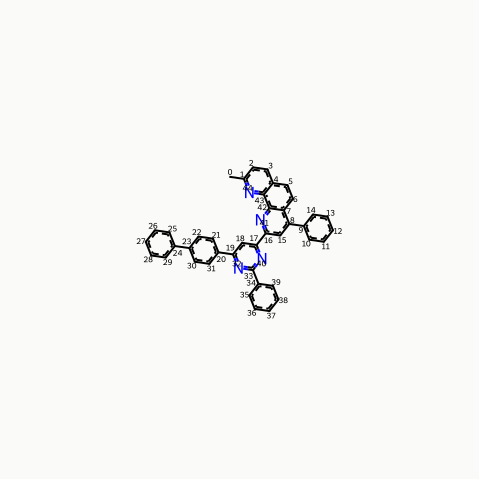 Cc1ccc2ccc3c(-c4ccccc4)cc(-c4cc(-c5ccc(-c6ccccc6)cc5)nc(-c5ccccc5)n4)nc3c2n1